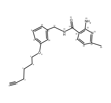 C#CCCCCOc1cccc(CNC(=O)c2ccc(C)nc2N)c1